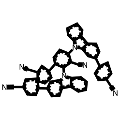 N#Cc1ccc(-c2ccc3c4ccccc4n(-c4ccc(-c5cccc(C#N)c5)c(-n5c6ccccc6c6ccc(-c7ccc(C#N)cc7)cc65)c4C#N)c3c2)cc1